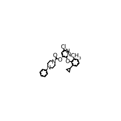 Cc1cccc(C2CC2)c1Oc1nnc(Cl)cc1OC(=O)N1CCN(c2ccccc2)CC1